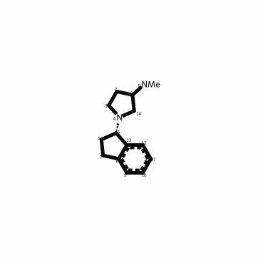 CNC1CCN([C@H]2CCc3ccccc32)C1